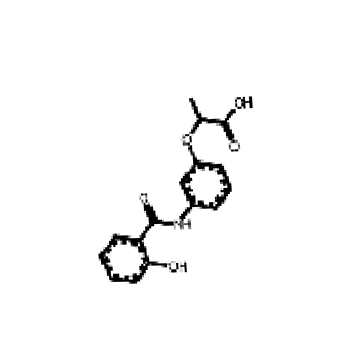 CC(Oc1cccc(NC(=O)c2ccccc2O)c1)C(=O)O